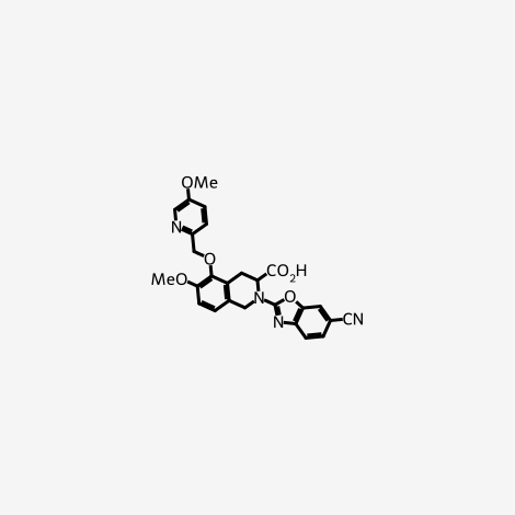 COc1ccc(COc2c(OC)ccc3c2CC(C(=O)O)N(c2nc4ccc(C#N)cc4o2)C3)nc1